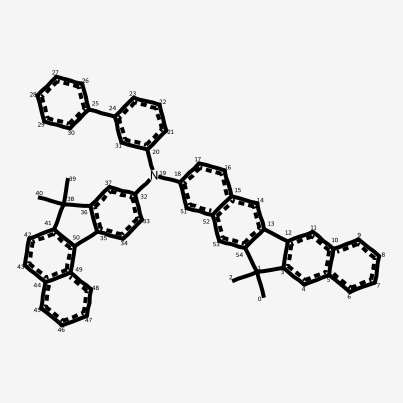 CC1(C)c2cc3ccccc3cc2-c2cc3ccc(N(c4cccc(-c5ccccc5)c4)c4ccc5c(c4)C(C)(C)c4ccc6ccccc6c4-5)cc3cc21